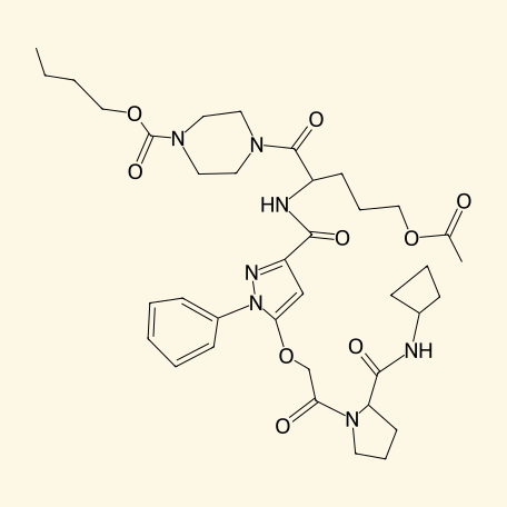 CCCCOC(=O)N1CCN(C(=O)C(CCCOC(C)=O)NC(=O)c2cc(OCC(=O)N3CCCC3C(=O)NC3CCC3)n(-c3ccccc3)n2)CC1